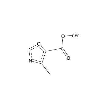 CCCOC(=O)c1ocnc1C